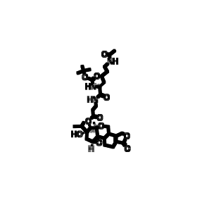 CC(=O)NCCCC[C@H](NC(=O)OC(C)(C)C)C(=O)NCCC(=O)O[C@@H]1[C@](O)(C(C)C)C[C@@H]2O[C@@]23C2CCC4=C(COC4=O)C2CO[C@]13C